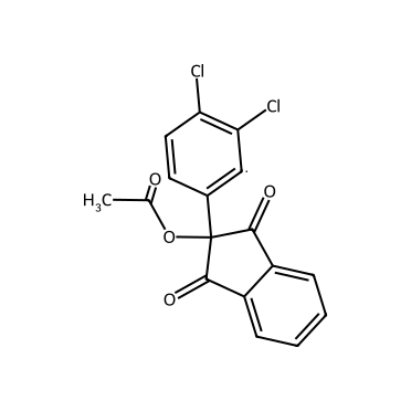 CC(=O)OC1(c2[c]c(Cl)c(Cl)cc2)C(=O)c2ccccc2C1=O